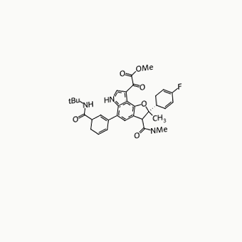 CNC(=O)C1c2cc(C3=CC(C(=O)NC(C)(C)C)CC=C3)c3[nH]cc(C(=O)C(=O)OC)c3c2OC1(C)[C@H]1C=CC(F)=CC1